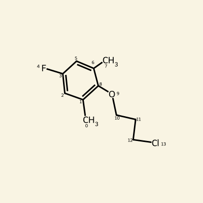 Cc1cc(F)cc(C)c1OCCCCl